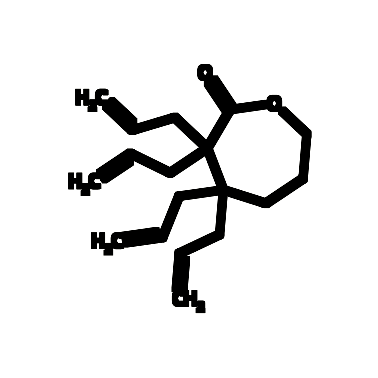 C=CCC1(CC=C)CCCOC(=O)C1(CC=C)CC=C